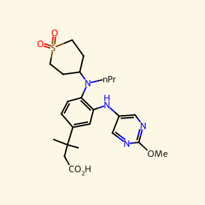 CCCN(c1ccc(C(C)(C)CC(=O)O)cc1Nc1cnc(OC)nc1)C1CCS(=O)(=O)CC1